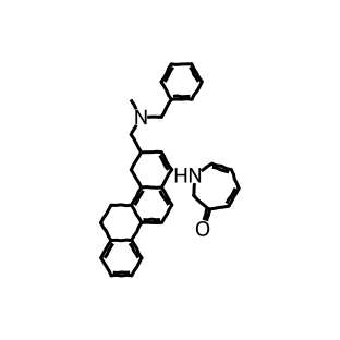 CN(Cc1ccccc1)CC1C=Cc2ccc3c(c2C1)CCc1ccccc1-3.O=C1C=CC=CNC1